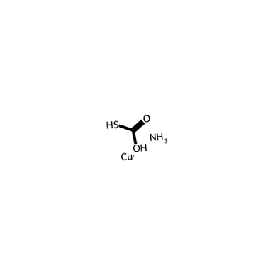 N.O=C(O)S.[Cu]